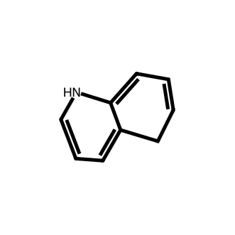 C1=CCC2=CC=CNC2=C1